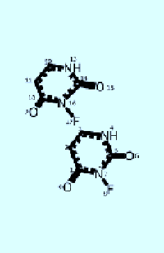 O=c1cc[nH]c(=O)n1F.O=c1cc[nH]c(=O)n1F